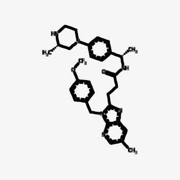 Cc1cnc2c(c1)nc(CCC(=O)N[C@@H](C)c1ccc(N3CCN[C@@H](C)C3)cc1)n2Cc1ccc(OC(F)(F)F)cc1